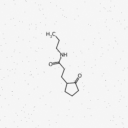 CCCNC(=O)CCC1CCCC1=O